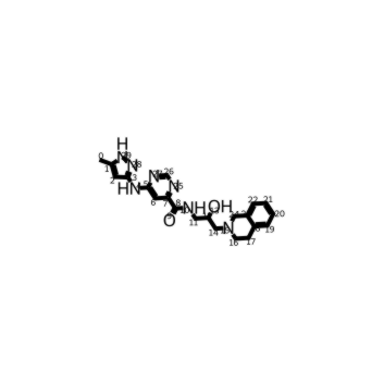 Cc1cc(Nc2cc(C(=O)NCC(O)CN3CCc4ccccc4C3)ncn2)n[nH]1